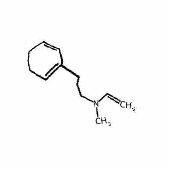 C=CN(C)CCC1=CCCC=C1